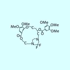 COc1cc(C(=O)OC2CCCOc3cc(cc(OC)c3OC)C(=O)OCCCN3CCN(CC2)CC(F)(F)C3)cc(OC)c1OC